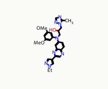 CCn1cc(-c2cnc3ccc(N(CC(O)Cn4ncnc4C)c4cc(OC)cc(OC)c4)cc3n2)cn1